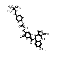 Cc1ccc2c(c1)Nc1c(cnn1C)CN2C(=O)c1ccc(CNC(=O)OC2CCN(CCC(C)(C)C)CC2)c(Cl)c1